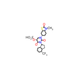 Cn1c(=O)sc2cc(-n3cc(OC(=O)O)c(=O)n([C@@H]4CCc5c4cccc5C(F)(F)F)c3=O)ccc21